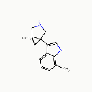 Cc1cccc2c(C34CNC[C@@H]3C4)c[nH]c12